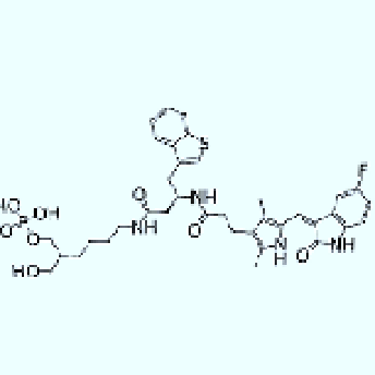 Cc1[nH]c(/C=C2\C(=O)Nc3ccc(F)cc32)c(C)c1CCC(=O)N[C@@H](CC(=O)NCCCCC(CO)COP(=O)(O)O)Cc1csc2ccccc12